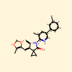 C=C/C(=C\C1=C(C)OCO1)C1(C(=O)Nc2ncc(-c3cccc(C)c3)cc2C)CC1